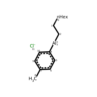 CCCCCCC[CH2][Al+][c]1ccc(C)cc1.[Cl-]